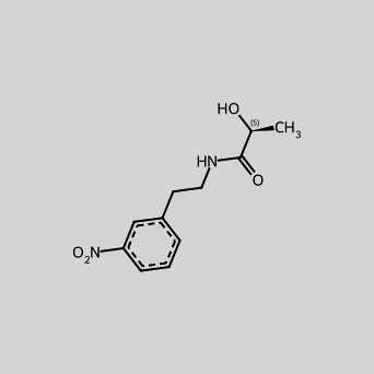 C[C@H](O)C(=O)NCCc1cccc([N+](=O)[O-])c1